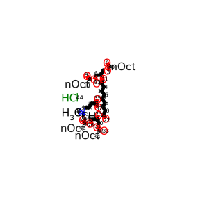 CCCCCCCCC(=O)OCC(COC(=O)CCCCCCCC)OC(=O)CCCC(CCCC(=O)OC(COC(=O)CCCCCCCC)COC(=O)CCCCCCCC)OC(=O)CCCN(C)C.Cl